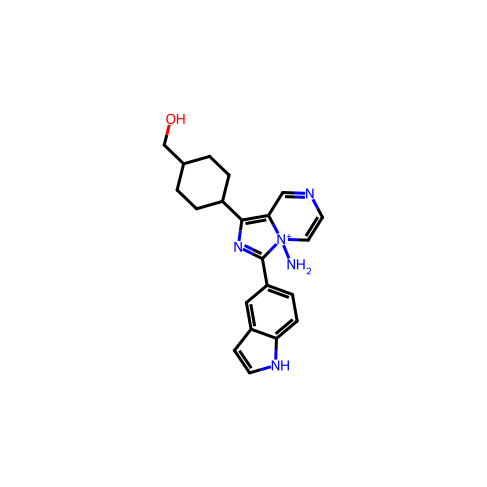 N[N+]12C=CN=CC1=C(C1CCC(CO)CC1)N=C2c1ccc2[nH]ccc2c1